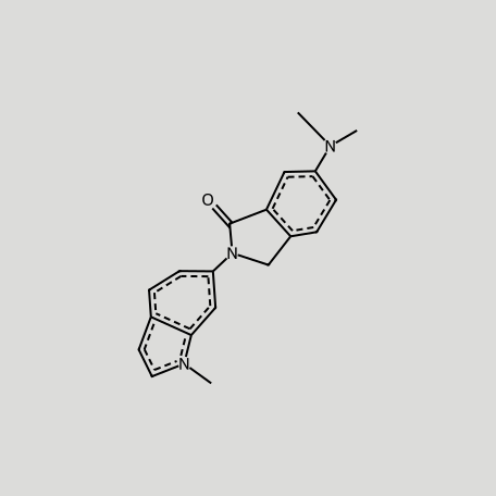 CN(C)c1ccc2c(c1)C(=O)N(c1ccc3ccn(C)c3c1)C2